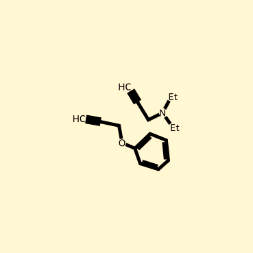 C#CCN(CC)CC.C#CCOc1ccccc1